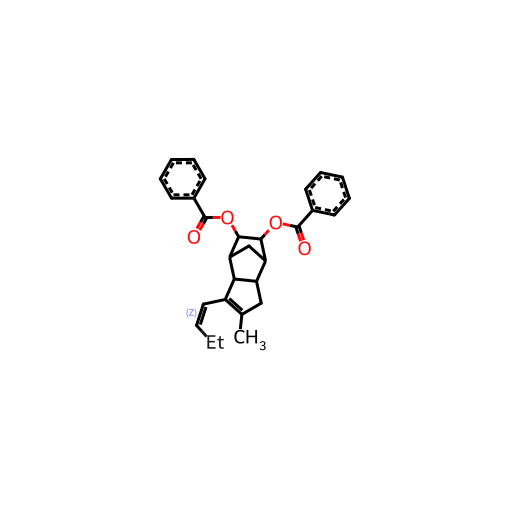 CC/C=C\C1=C(C)CC2C3CC(C(OC(=O)c4ccccc4)C3OC(=O)c3ccccc3)C12